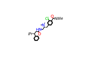 CNC(=O)c1ccc(C[C@@H](CNC(=O)C[C@@H](c2ccccc2)C(C)C)N(C)C)cc1Cl